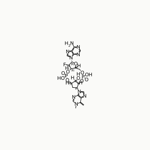 C=C1c2ncn([C@@H]3C[C@@H]4OP(=O)(O)O[C@H]5[C@@H](F)[C@H](n6cnc7c(N)ncnc76)O[C@@H]5COP(=O)(O)O[C@@H]3[C@@H]4O)c2N=CN1C